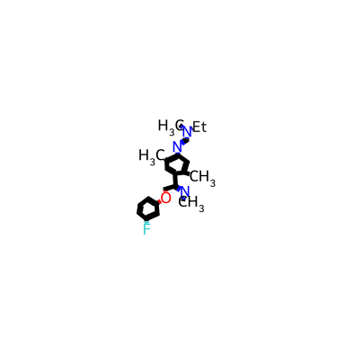 CCN(C)C=Nc1cc(C)c(C(COc2cccc(F)c2)=NC)cc1C